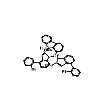 CCCCC1=Cc2c(-c3ccccc3CC)cccc2[CH]1[Hf]([c]1cccc2c1[SiH2]c1ccccc1-2)[CH]1C(CCCC)=Cc2c(-c3ccccc3CC)cccc21